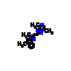 Cc1cc2c(nc(CCc3nc4c(C)ncc(C)n4n3)n2C)c2c1CCCC2